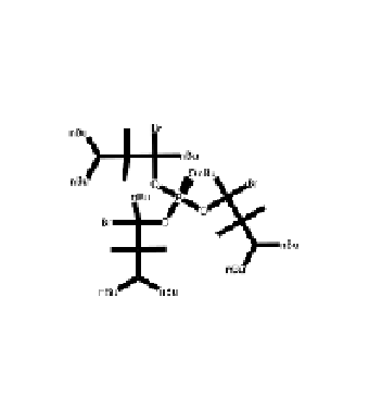 CCCCC(CCCC)C(C)(C)C(Br)(CCCC)OP(=O)(OC(Br)(CCCC)C(C)(C)C(CCCC)CCCC)OC(Br)(CCCC)C(C)(C)C(CCCC)CCCC